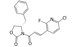 O=C(/C=C/c1ccc(Cl)nc1F)N1C(=O)OC[C@@H]1Cc1ccccc1